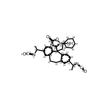 CC(N=C=O)c1ccc2c(c1)CCc1cc(C(C)N=C=O)ccc1C2(CCN)c1nc(=O)on1C1CCCCC1